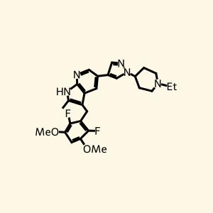 CCN1CCC(n2cc(-c3cnc4[nH]c(C)c(Cc5c(F)c(OC)cc(OC)c5F)c4c3)cn2)CC1